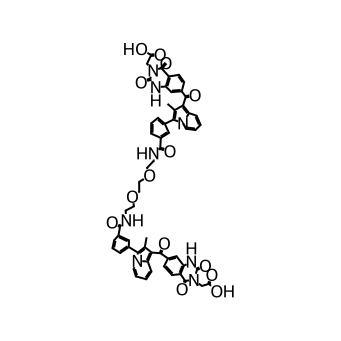 Cc1c(C(=O)c2ccc3c(=O)n(CC(=O)O)c(=O)[nH]c3c2)c2ccccn2c1-c1cccc(C(=O)NCCOCCOCCNC(=O)c2cccc(-c3c(C)c(C(=O)c4ccc5c(=O)n(CC(=O)O)c(=O)[nH]c5c4)c4ccccn34)c2)c1